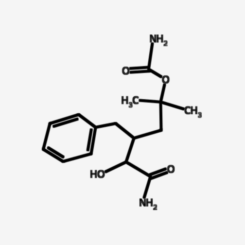 CC(C)(CC(Cc1ccccc1)C(O)C(N)=O)OC(N)=O